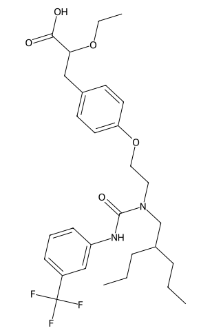 CCCC(CCC)CN(CCOc1ccc(CC(OCC)C(=O)O)cc1)C(=O)Nc1cccc(C(F)(F)F)c1